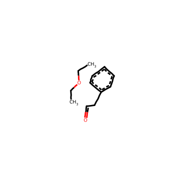 CCOCC.O=CCc1ccccc1